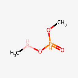 CBO[PH](=O)OC